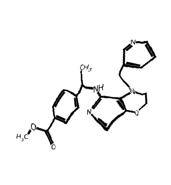 COC(=O)c1ccc(C(C)Nc2nccc3c2N(Cc2cccnc2)CCO3)cc1